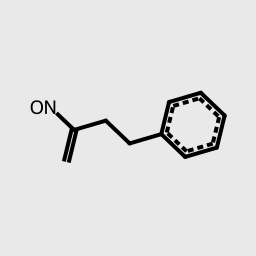 C=C(CCc1ccccc1)N=O